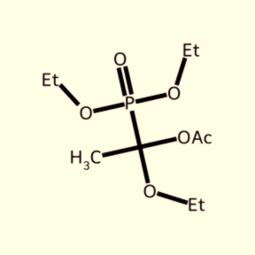 CCOC(C)(OC(C)=O)P(=O)(OCC)OCC